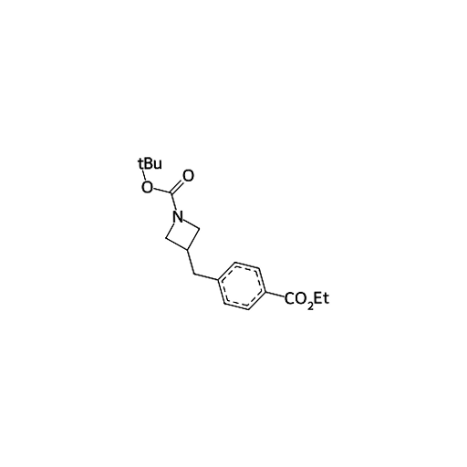 CCOC(=O)c1ccc(CC2CN(C(=O)OC(C)(C)C)C2)cc1